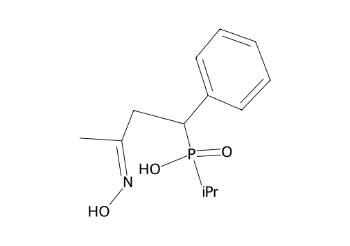 CC(CC(c1ccccc1)P(=O)(O)C(C)C)=NO